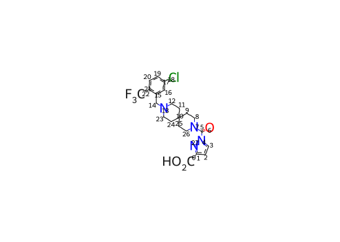 O=C(O)c1ccn(C(=O)N2CCC3(CCN(Cc4cc(Cl)ccc4C(F)(F)F)CC3)CC2)n1